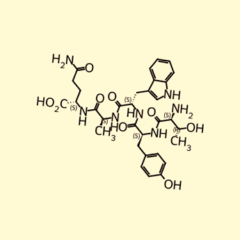 C[C@H](NC(=O)[C@H](Cc1c[nH]c2ccccc12)NC(=O)[C@H](Cc1ccc(O)cc1)NC(=O)[C@@H](N)[C@@H](C)O)C(=O)N[C@@H](CCC(N)=O)C(=O)O